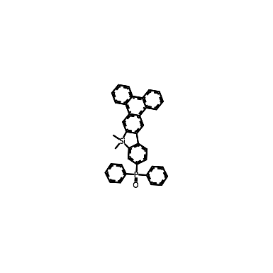 C[Si]1(C)c2cc(P(=O)(c3ccccc3)c3ccccc3)ccc2-c2cc3c4ccccc4c4ccccc4c3cc21